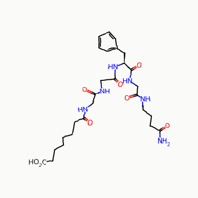 NC(=O)CCCNC(=O)CNC(=O)[C@H](Cc1ccccc1)NC(=O)CNC(=O)CNC(=O)CCCCCCC(=O)O